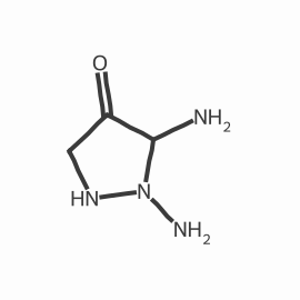 NC1C(=O)CNN1N